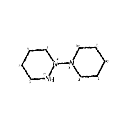 C1CCN(N2CCCCN2)CC1